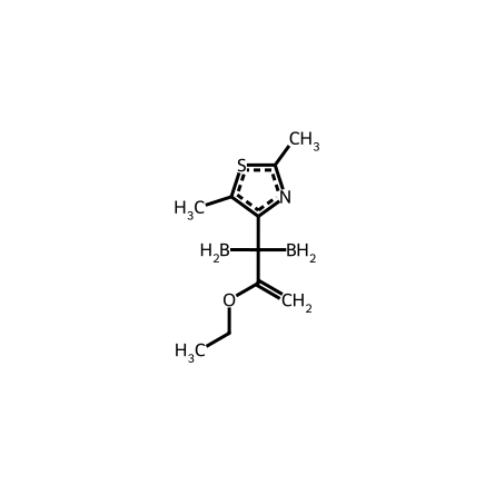 BC(B)(C(=C)OCC)c1nc(C)sc1C